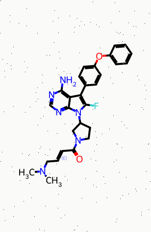 CN(C)C/C=C/C(=O)N1CCC(n2c(F)c(-c3ccc(Oc4ccccc4)cc3)c3c(N)ncnc32)C1